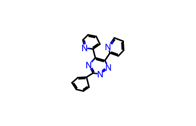 c1ccc(-c2nnc(-c3ccccn3)c(-c3ccccn3)n2)cc1